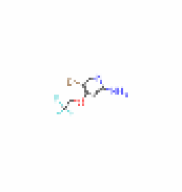 Nc1cc(OCC(F)(F)F)c(Br)cn1